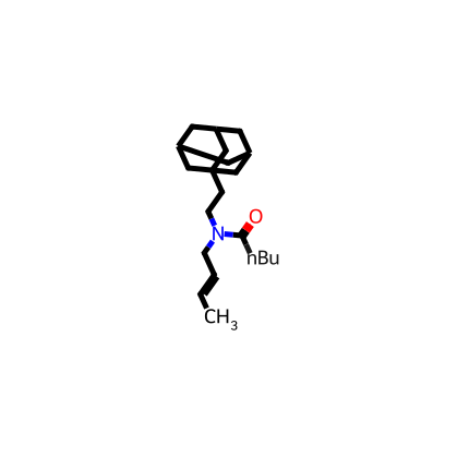 CC=CCN(CCC12CC3CC(CC(C3)C1)C2)C(=O)CCCC